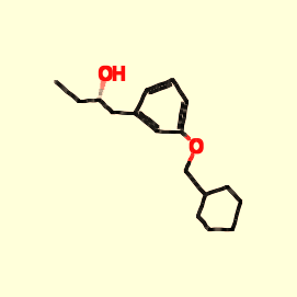 CC[C@H](O)Cc1cccc(OCC2CCCCC2)c1